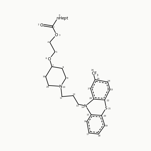 CCCCCCCC(=O)OCCOC1CCN(CCCN2c3ccccc3Sc3ccc(C(F)(F)F)cc32)CC1